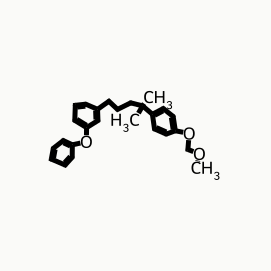 COCOc1ccc(C(C)(C)CCCc2cccc(Oc3ccccc3)c2)cc1